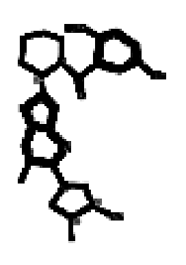 COc1ccc(C(C)(C)C)cc1C(=O)N1CCCC[C@H]1c1cc2nc(N3C[C@@H](C#N)[C@@H](C)C3)c(C)cn2n1